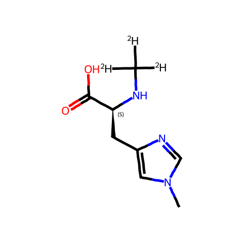 [2H]C([2H])([2H])N[C@@H](Cc1cn(C)cn1)C(=O)O